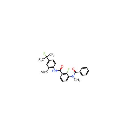 CSc1cc(C(F)(C(F)(F)F)C(F)(F)F)ccc1NC(=O)c1cccc(N(C)C(=O)c2ccccc2)c1F